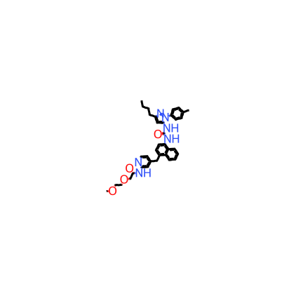 CCCCc1cc(NC(=O)Nc2ccc(Cc3ccnc(NC(=O)COCCOC)c3)c3ccccc23)n(-c2ccc(C)cc2)n1